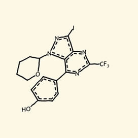 Oc1ccc(-c2nc(C(F)(F)F)nc3c(I)nn(C4CCCCO4)c23)cc1